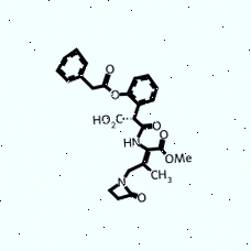 COC(=O)C(NC(=O)[C@H](C(=O)O)c1ccccc1OC(=O)Cc1ccccc1)=C(C)CN1CCC1=O